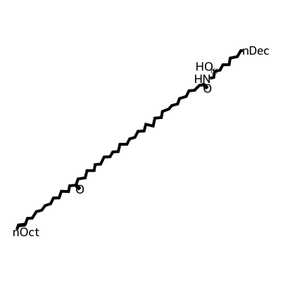 CCCCCCCCC=CCCCCCCCCCCCC(=O)CCCCCCCCCCCCCCCCCCCCCCCCCCCCCC(=O)NC[C@@H](O)CCCCCCCCCCCCCCCC